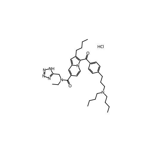 CCCCc1cc2cc(C(=O)N(CC)Cc3nnn[nH]3)ccn2c1C(=O)c1ccc(CCCN(CCCC)CCCC)cc1.Cl